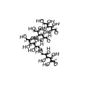 O=C[C@H](O)[C@@H](O)[C@H](O)[C@H](O)CO.O=C[C@H](O)[C@@H](O)[C@H](O)[C@H](O)CO.O=C[C@H](O)[C@@H](O)[C@H](O)[C@H](O)CO.O=C[C@H](O)[C@@H](O)[C@H](O)[C@H](O)CO